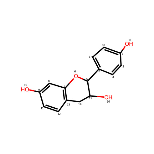 Oc1ccc(C2Oc3cc(O)ccc3CC2O)cc1